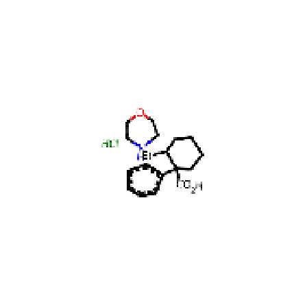 C1COCCN1.CCC1CCCCC1(C(=O)O)c1ccccc1.Cl